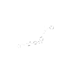 O=c1n(CCCC2CCCC2)ccn1-c1ccc(S(=O)(=O)Nc2ccc(CCNCC(O)c3cccnc3)cc2)cc1